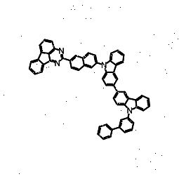 c1ccc(-c2cccc(-n3c4ccccc4c4cc(-c5ccc6c(c5)c5ccccc5n6-c5ccc6cc(-c7nc8c9c(cccc9n7)-c7ccccc7-8)ccc6c5)ccc43)c2)cc1